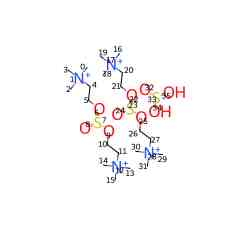 C[N+](C)(C)CCOS(=O)OCC[N+](C)(C)C.C[N+](C)(C)CCOS(=O)OCC[N+](C)(C)C.O=S(O)O